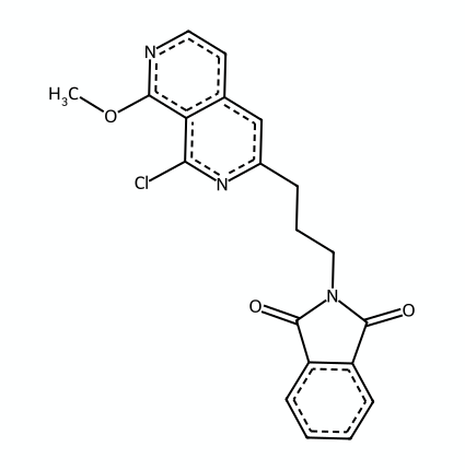 COc1nccc2cc(CCCN3C(=O)c4ccccc4C3=O)nc(Cl)c12